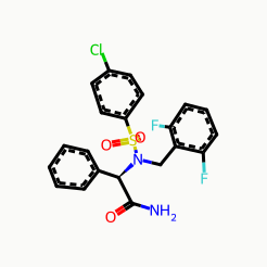 NC(=O)[C@@H](c1ccccc1)N(Cc1c(F)cccc1F)S(=O)(=O)c1ccc(Cl)cc1